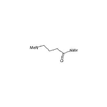 CNCCCC(=O)NC